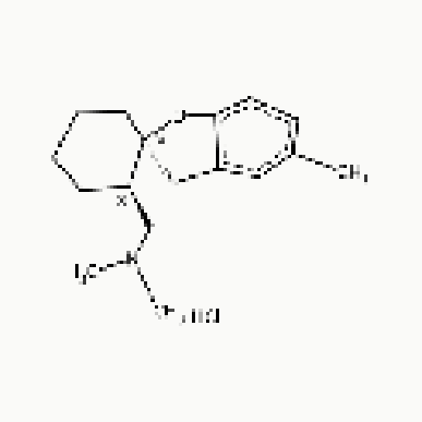 Cc1ccc2c(c1)C[C@]1(CCCC[C@@H]1CN(C)C)O2.Cl